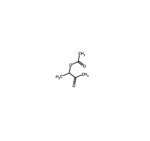 [CH2]C(OC(C)=O)C(C)=O